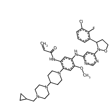 C=CC(=O)Nc1cc(Nc2cc(N3OCCC3c3cccc(Cl)c3F)ncn2)c(OC)cc1N1CCC(N2CCN(CC3CC3)CC2)CC1